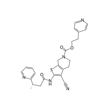 C[C@@H](CC(=O)Nc1sc2c(c1C#N)CCN(C(=O)OCCc1ccncc1)C2)c1ccccn1